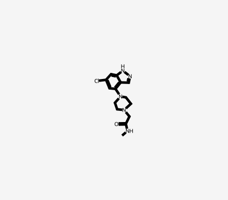 CNC(=O)CN1CCN(c2cc(Cl)cc3[nH]ncc23)CC1